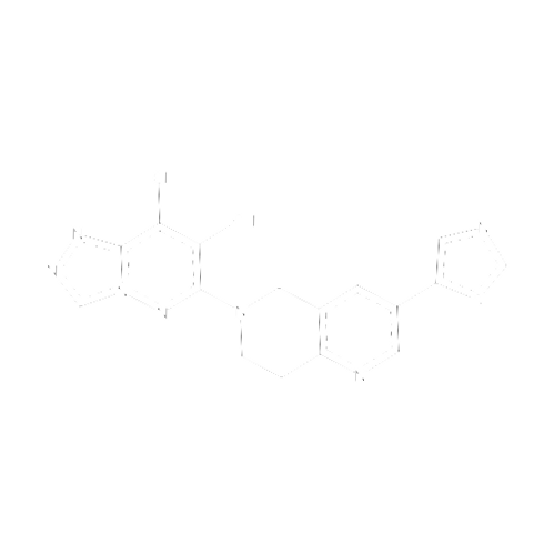 Cc1c(N2CCc3ncc(-c4cncs4)cc3C2)nn2cnnc2c1C